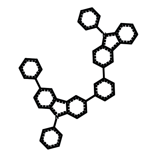 c1ccc(-c2ccc3c(c2)c2cc(-c4cccc(-c5ccc6c(c5)c5ccccc5n6-c5ccccc5)c4)ccc2n3-c2ccccc2)cc1